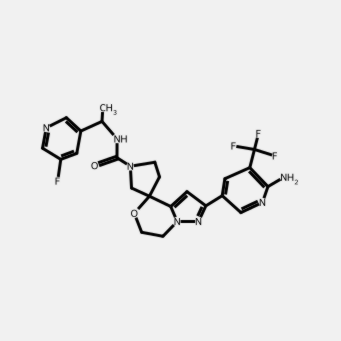 CC(NC(=O)N1CCC2(C1)OCCn1nc(-c3cnc(N)c(C(F)(F)F)c3)cc12)c1cncc(F)c1